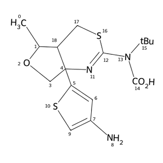 CC1OCC2(c3cc(N)cs3)N=C(N(C(=O)O)C(C)(C)C)SCC12